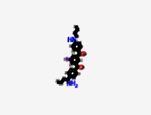 CCCCNc1ccc(C(=O)c2cc(I)cc(C(=O)c3ccc(C(N)CCC)cc3)c2)cc1